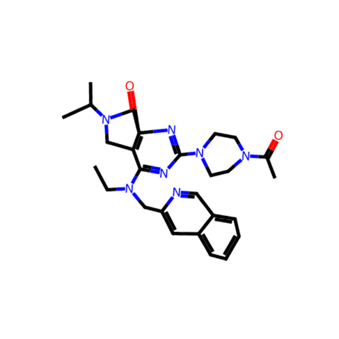 CCN(Cc1cc2ccccc2cn1)c1nc(N2CCN(C(C)=O)CC2)nc2c1CN(C(C)C)C2=O